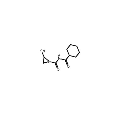 N#CC1CN1C(=O)NC(=O)C1CCCCC1